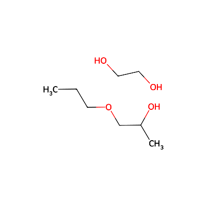 CCCOCC(C)O.OCCO